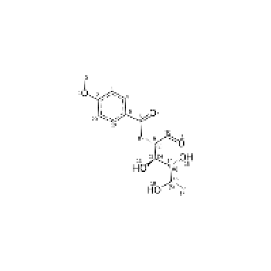 COc1ccc(C(=O)C[C@H](C=O)[C@H](O)[C@H](O)[C@H](C)O)cc1